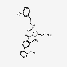 CO/N=C1\C[C@@H](C(=O)NCCc2cccc(O)c2)N(C(=O)c2ccc(-c3ccccc3C)cc2C)C1